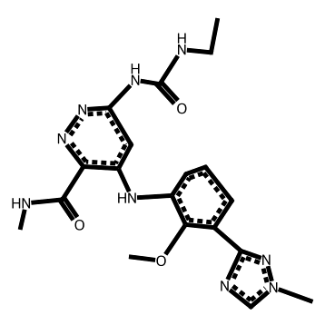 CCNC(=O)Nc1cc(Nc2cccc(-c3ncn(C)n3)c2OC)c(C(=O)NC)nn1